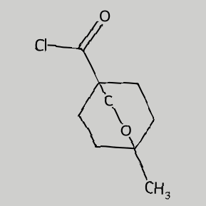 CC12CCC(C(=O)Cl)(CC1)CO2